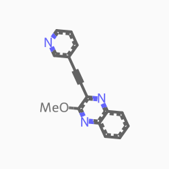 COc1nc2ccccc2nc1C#Cc1cccnc1